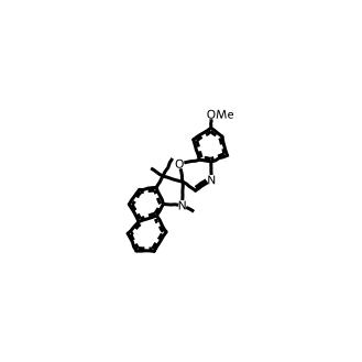 COc1ccc2c(c1)OC1(C=N2)N(C)c2c(ccc3ccccc23)C1(C)C